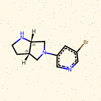 Brc1cncc(N2C[C@@H]3CCN[C@@H]3C2)c1